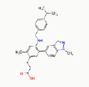 Cc1cc(NCc2ccc(C(C)C)cc2)c(-c2ccc3c(cnn3C)c2)cc1CCC(=O)O